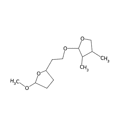 COC1CCC(CCOC2OCC(C)C2C)O1